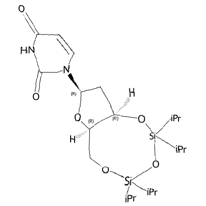 CC(C)[Si]1(C(C)C)OC[C@H]2O[C@@H](n3ccc(=O)[nH]c3=O)C[C@H]2O[Si](C(C)C)(C(C)C)O1